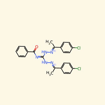 C/C(=N\NC(=NC(=O)c1ccccc1)N/N=C(\C)c1ccc(Cl)cc1)c1ccc(Cl)cc1